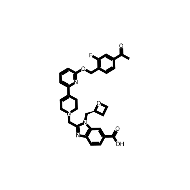 CC(=O)c1ccc(COc2cccc(C3=CCN(Cc4nc5ccc(C(=O)O)cc5n4C[C@@H]4CCO4)CC3)n2)c(F)c1